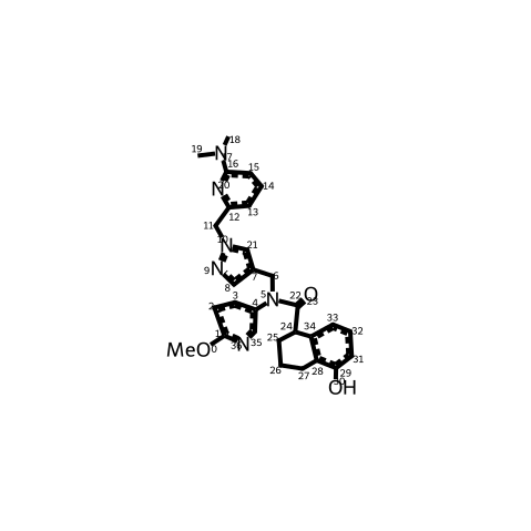 COc1ccc(N(Cc2cnn(Cc3cccc(N(C)C)n3)c2)C(=O)C2CCCc3c(O)cccc32)cn1